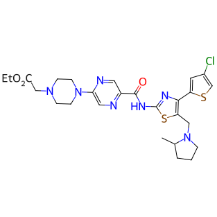 CCOC(=O)CN1CCN(c2cnc(C(=O)Nc3nc(-c4cc(Cl)cs4)c(CN4CCCC4C)s3)cn2)CC1